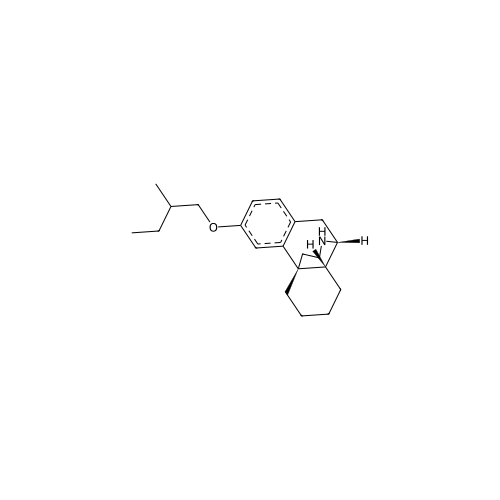 CCC(C)COc1ccc2c(c1)[C@@]13CCCC[C@H]1[C@@H](C2)NCC3